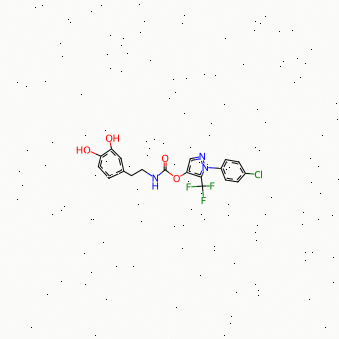 O=C(NCCc1ccc(O)c(O)c1)Oc1cnn(-c2ccc(Cl)cc2)c1C(F)(F)F